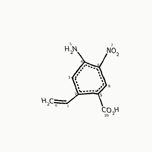 C=Cc1cc(N)c([N+](=O)[O-])cc1C(=O)O